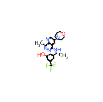 Cc1nnc(N[C@H](C)c2cc(O)cc(C(F)(F)F)c2)c2cc(N3C4CCC3COC4)cnc12